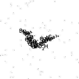 CC(=O)O.[Br-].[Ga+3].[Na+].[Na+].[Na+].[Na+].[O-]Cl.[O-]Cl.[O-]Cl.[O-][Br+2]([O-])[O-].[O-][Cl+2]([O-])[O-].[O-][I+2]([O-])[O-]